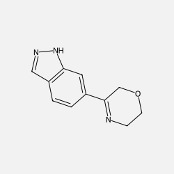 c1cc2cn[nH]c2cc1C1=NCCOC1